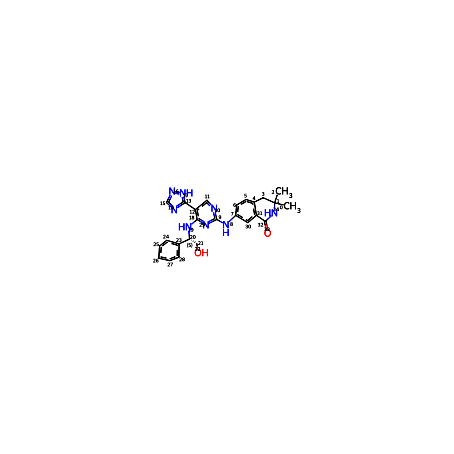 CC1(C)Cc2ccc(Nc3ncc(-c4ncn[nH]4)c(N[C@H](CO)c4ccccc4)n3)cc2C(=O)N1